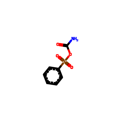 NC(=O)OS(=O)(=O)c1ccccc1